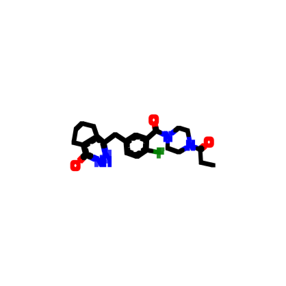 CCC(=O)N1CCN(C(=O)c2cc(Cc3n[nH]c(=O)c4c3CCCC4)ccc2F)CC1